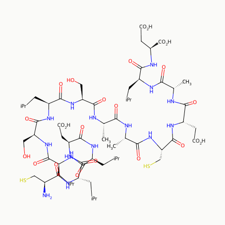 CC(C)C[C@H](NC(=O)[C@H](C)NC(=O)[C@H](CC(=O)O)NC(=O)[C@H](CS)NC(=O)[C@H](C)NC(=O)[C@H](C)NC(=O)[C@H](CO)NC(=O)[C@H](CC(C)C)NC(=O)[C@H](CO)NC(=O)[C@H](CC(C)C)NC(=O)[C@H](CC(C)C)NC(=O)[C@H](CC(=O)O)NC(=O)[C@H](CC(C)C)NC(=O)[C@@H](N)CS)C(=O)N[C@@H](CC(=O)O)C(=O)O